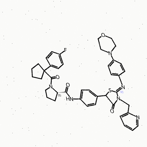 O=C(Nc1ccc(C2S/C(=N\c3ccc(N4CCOCC4)cc3)N(Cc3ccccn3)C2=O)cc1)[C@@H]1CCCN1C(=O)C1(c2ccc(F)cc2)CCCC1